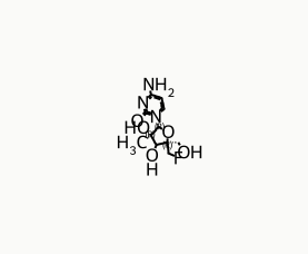 C[C@@]1(O)C(O)[C@](CO)(CF)O[C@H]1n1ccc(N)nc1=O